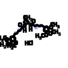 COc1cc(/C=C/C=C/C(=O)N[C@H]2CN(C)C[C@@H]2NC(=O)/C=C/C=C/c2cc(OC)c(OC)c(OC)c2)cc(OC)c1OC.Cl